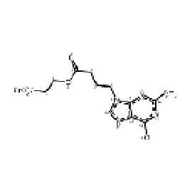 CCOC(=O)CCOC(=O)CCCn1cnc2c(Cl)nc(N)nc21